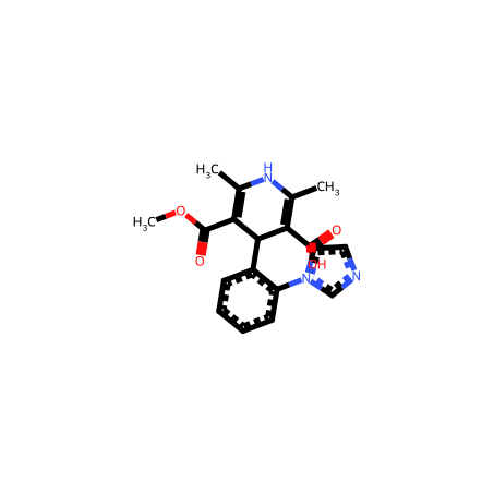 COC(=O)C1=C(C)NC(C)=C(C(=O)O)C1c1ccccc1-n1ccnc1